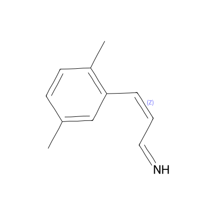 Cc1ccc(C)c(/C=C\C=N)c1